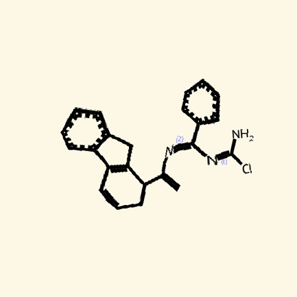 C=C(/N=C(\N=C(/N)Cl)c1ccccc1)C1CC=CC2=C1Cc1ccccc12